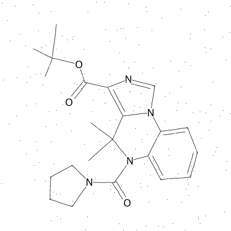 CC(C)(C)OC(=O)c1ncn2c1C(C)(C)N(C(=O)N1CCCC1)c1ccccc1-2